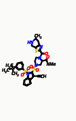 C#Cc1c(S(=O)(=O)N2CCN(C(=O)c3nc4c(s3)CNC(C)C4)C(C(=O)NC)C2)n(S(=O)(=O)c2cccc([Si](C)(C)C)c2)c2ccccc12